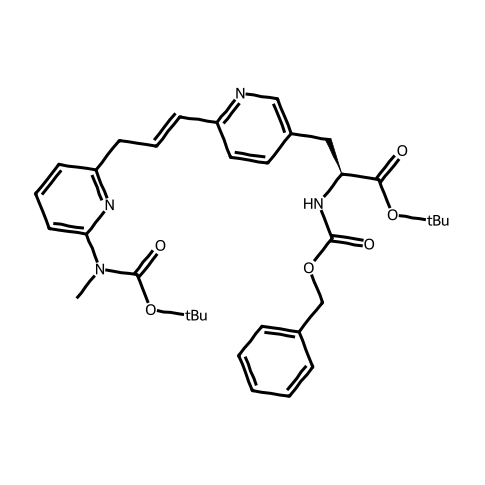 CN(C(=O)OC(C)(C)C)c1cccc(CC=Cc2ccc(C[C@H](NC(=O)OCc3ccccc3)C(=O)OC(C)(C)C)cn2)n1